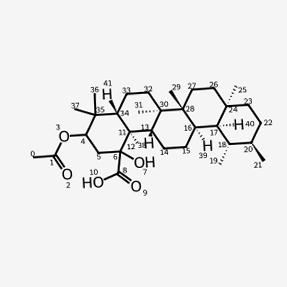 CC(=O)OC1CC(O)(C(=O)O)[C@]2(C)[C@H]3CC[C@@H]4[C@@H]5[C@@H](C)[C@H](C)CC[C@]5(C)CC[C@@]4(C)[C@]3(C)CC[C@H]2C1(C)C